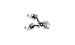 CC(C)(C)C(=O)c1cc(OCCCC(F)(F)C(F)(F)C(F)(F)C(F)(F)F)c(OCCCC(F)(F)C(F)(F)C(F)(F)C(F)(F)F)cc1[N+](=O)[O-]